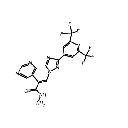 NNC(=O)/C(=C/n1cnc(-c2cc(C(F)(F)F)nc(C(F)(F)F)c2)n1)c1cncnc1